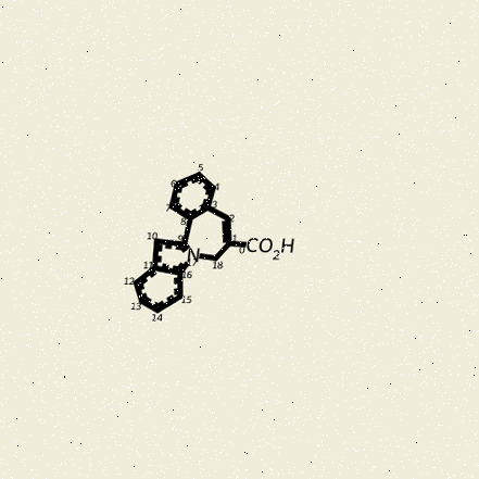 O=C(O)C1=Cc2ccccc2-c2cc3ccccc3n2C1